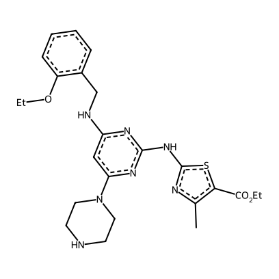 CCOC(=O)c1sc(Nc2nc(NCc3ccccc3OCC)cc(N3CCNCC3)n2)nc1C